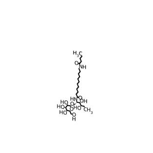 CCCCC(=O)NCCCCCCCCCCCC(=O)N[C@@H](CO[C@H]1OC(CO)[C@H](O)[C@H](O)C1O)[C@H](O)[C@H](O)CC